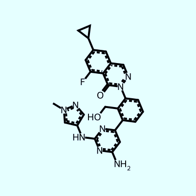 Cn1cc(Nc2nc(N)cc(-c3cccc(-n4ncc5cc(C6CC6)cc(F)c5c4=O)c3CO)n2)cn1